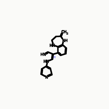 C=C1CCNc2c(cccc2/C(C=N)=C/Nc2ccncc2)N1